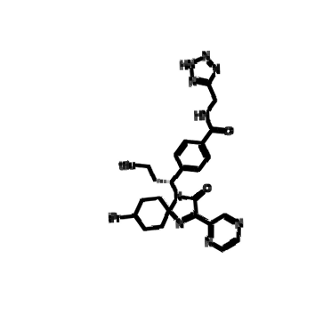 CC(C)C1CCC2(CC1)N=C(c1cnccn1)C(=O)N2[C@H](CCC(C)(C)C)c1ccc(C(=O)NCc2nn[nH]n2)cc1